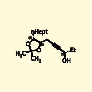 CCCCCCC[C@H]1OC(C)(C)O[C@@H]1CC#C[C@@H](O)CC